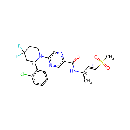 C[C@H](/C=C/S(C)(=O)=O)NC(=O)c1cnc(N2CCC(F)(F)C[C@@H]2c2ccccc2Cl)cn1